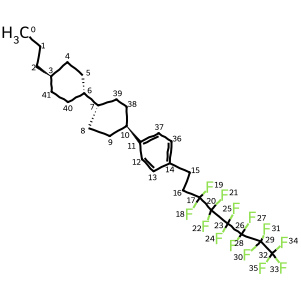 CCC[C@H]1CC[C@H]([C@H]2CC[C@H](c3ccc(CCC(F)(F)C(F)(F)C(F)(F)C(F)(F)C(F)(F)C(F)(F)F)cc3)CC2)CC1